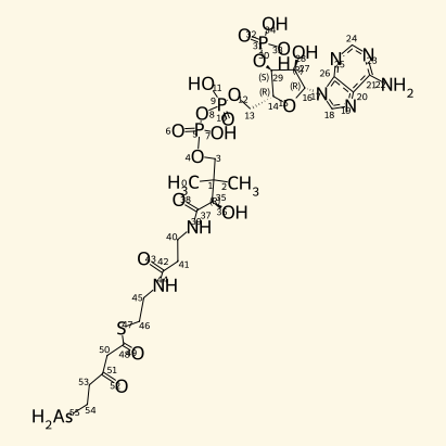 CC(C)(COP(=O)(O)OP(=O)(O)OC[C@H]1O[C@@H](n2cnc3c(N)ncnc32)[C@H](O)[C@@H]1OP(=O)(O)O)[C@@H](O)C(=O)NCCC(=O)NCCSC(=O)CC(=O)CC[AsH2]